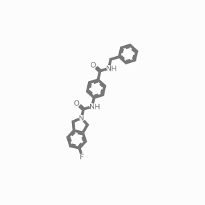 O=C(NCc1ccccc1)c1ccc(NC(=O)N2Cc3ccc(F)cc3C2)cc1